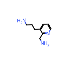 NCCCc1cccnc1CN